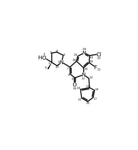 C[C@@]1(O)CCCN(c2cc(=O)n(Cc3ccccc3)c3c(F)c(Cl)ncc23)C1